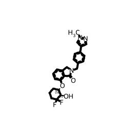 Cn1cc(-c2ccc(CN3Cc4cccc(O[C@H]5CCCC(F)(F)[C@@H]5O)c4C3=O)cc2)cn1